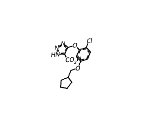 O=C(O)c1[nH]nnc1Oc1cc(OCC2CCCC2)ccc1Cl